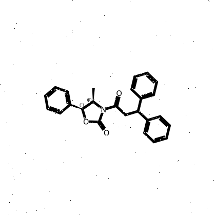 C[C@@H]1[C@H](c2ccccc2)OC(=O)N1C(=O)CC(c1ccccc1)c1ccccc1